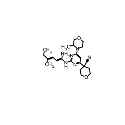 CC/C(C)=C/C=C(\N)Nc1nc(N2CCOCC2C)cc(C2(C#N)CCOCC2)n1